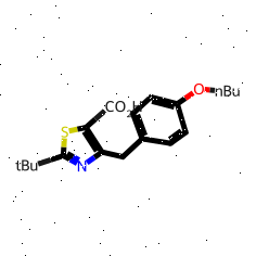 CCCCOc1ccc(Cc2nc(C(C)(C)C)sc2C(=O)O)cc1